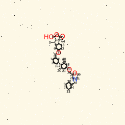 CCC(C(=O)O)C1(c2ccc(OCc3cccc(-c4c(C)cc(OCC5CN(Cc6ccccc6)CCO5)cc4C)c3)cc2)COC1